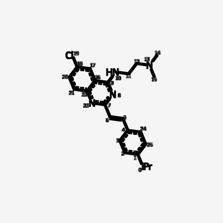 CC(C)c1ccc(/C=C/c2nc(NCCN(C)C)c3cc(Cl)ccc3n2)cc1